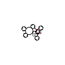 c1ccc(-c2cc(-c3cccc4c3-c3c(oc5ccccc35)Cc3ccccc3-c3ccccc3C4)c3ccccc3n2)cc1